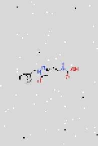 O=C(O)NCCC1=NN(CC2CC3CCC2C3)C(=O)C1